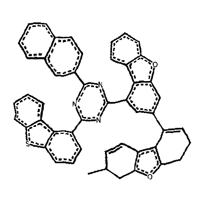 CC1C=Cc2c(oc3c2C(c2cc(-c4nc(-c5ccc6ccccc6c5)nc(-c5cccc6sc7ccccc7c56)n4)c4c(c2)oc2ccccc24)=CCC3)C1